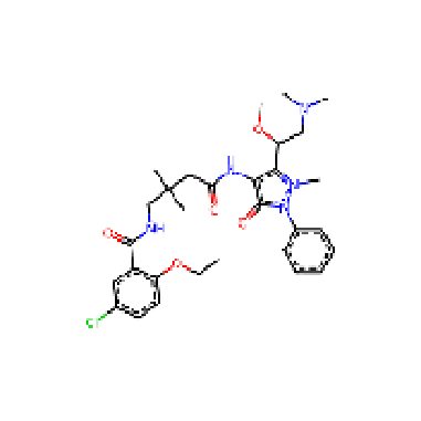 CCOc1ccc(Cl)cc1C(=O)NCC(C)(C)CC(=O)Nc1c(C(CN(C)C)OC)n(C)n(-c2ccccc2)c1=O